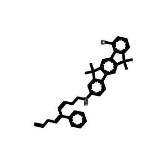 C=CC/C=C(\C=C/CCNc1ccc2c(c1)C(C)(C)c1cc3c(cc1-2)C(C)(C)c1cccc(Cl)c1-3)c1ccccc1